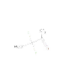 COC(F)(F)C(=O)C(F)(F)F